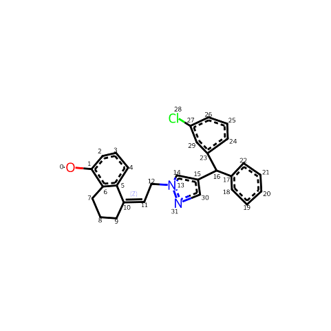 [O]c1cccc2c1CCC/C2=C/Cn1cc(C(c2ccccc2)c2cccc(Cl)c2)cn1